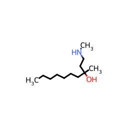 CCCCCCCC(C)(O)CCNC